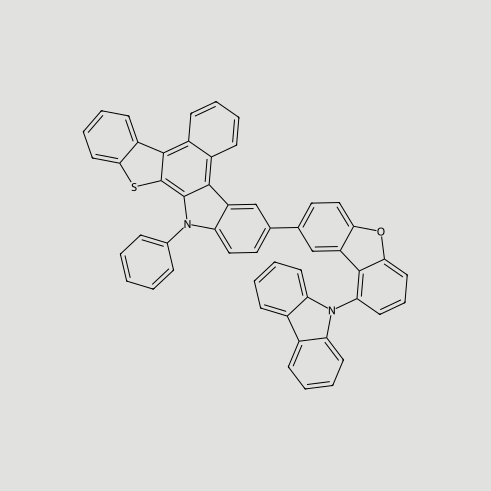 c1ccc(-n2c3ccc(-c4ccc5oc6cccc(-n7c8ccccc8c8ccccc87)c6c5c4)cc3c3c4ccccc4c4c5ccccc5sc4c32)cc1